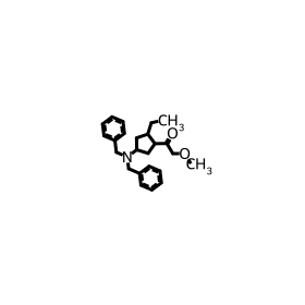 CCC1CC(N(Cc2ccccc2)Cc2ccccc2)CC1C(=O)COC